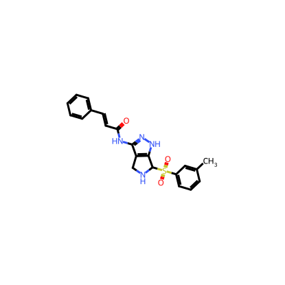 Cc1cccc(S(=O)(=O)C2NCc3c(NC(=O)/C=C/c4ccccc4)n[nH]c32)c1